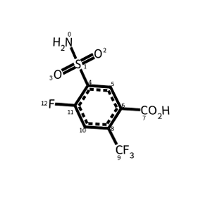 NS(=O)(=O)c1cc(C(=O)O)c(C(F)(F)F)cc1F